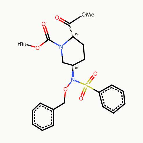 COC(=O)[C@@H]1CC[C@@H](N(OCc2ccccc2)S(=O)(=O)c2ccccc2)CN1C(=O)OC(C)(C)C